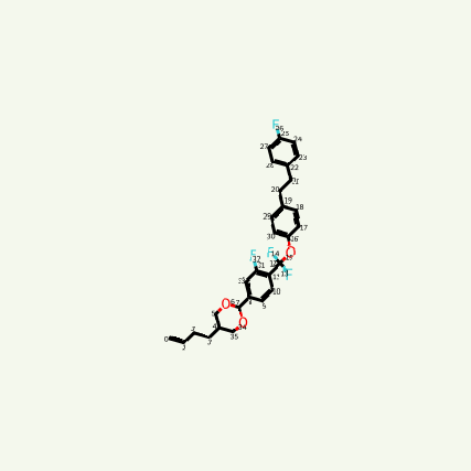 C=CCCC1COC(c2ccc(C(F)(F)Oc3ccc(CCc4ccc(F)cc4)cc3)c(F)c2)OC1